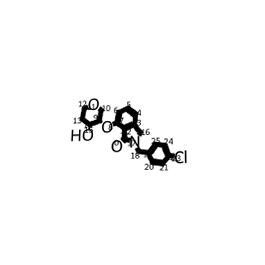 O=C1c2c(cccc2O[C@@H]2COCC[C@H]2O)CN1Cc1ccc(Cl)cc1